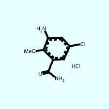 COc1c(N)cc(Cl)cc1C(N)=O.Cl